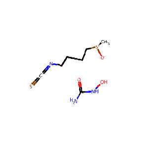 C[S+]([O-])CCCCN=C=S.NC(=O)NO